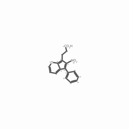 O=C(O)CCc1c2occcc-2c(-c2ccccc2)c1[N+](=O)[O-]